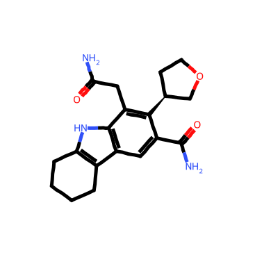 NC(=O)Cc1c([C@H]2CCOC2)c(C(N)=O)cc2c3c([nH]c12)CCCC3